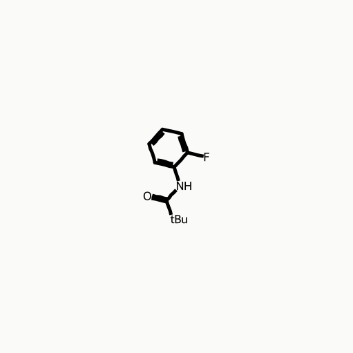 CC(C)(C)C(=O)Nc1ccccc1F